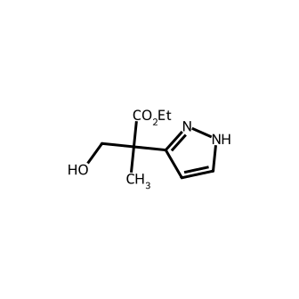 CCOC(=O)C(C)(CO)c1cc[nH]n1